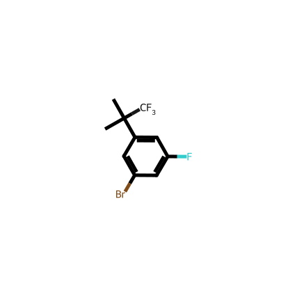 CC(C)(c1cc(F)cc(Br)c1)C(F)(F)F